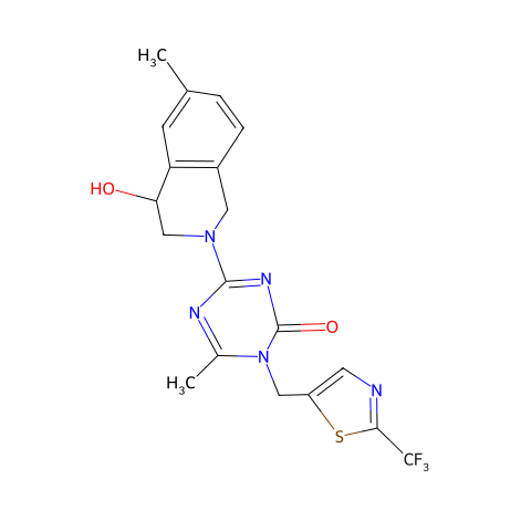 Cc1ccc2c(c1)C(O)CN(c1nc(C)n(Cc3cnc(C(F)(F)F)s3)c(=O)n1)C2